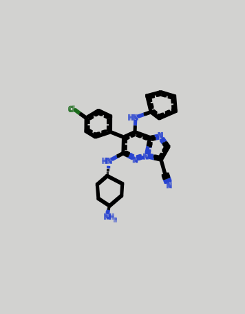 N#Cc1cnc2c(Nc3ccccc3)c(-c3ccc(Cl)cc3)c(N[C@H]3CC[C@H](N)CC3)nn12